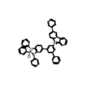 O=P1(c2ccccc2)N(c2ccccc2)c2ccc(-c3cc(-c4ccccc4)cc(-n4c5ccccc5c5cc(-c6ccccc6)ccc54)c3)cc2N1c1ccccc1